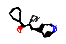 N#C/C(=C\c1ccncc1)C(=O)C1CCCC1